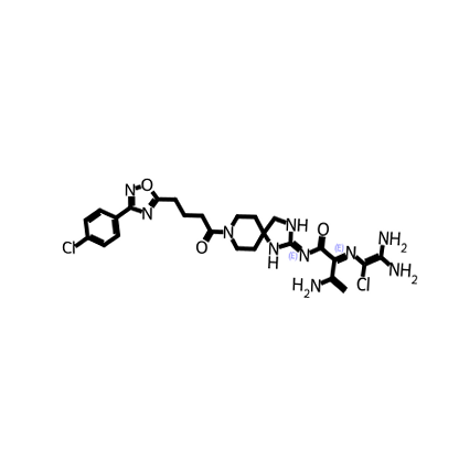 C=C(N)/C(=N\C(Cl)=C(N)N)C(=O)/N=C1\NCC2(CCN(C(=O)CCCc3nc(-c4ccc(Cl)cc4)no3)CC2)N1